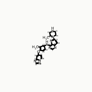 Cc1cc(Nc2ncnc3ccc(N4CCNC[C@H]4C)nc23)ccc1Oc1ccn2ncnc2c1